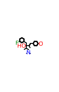 COc1ccc(C=C(C)C(O)(Cc2cccc(F)c2)C(C)CN(C)C)cc1